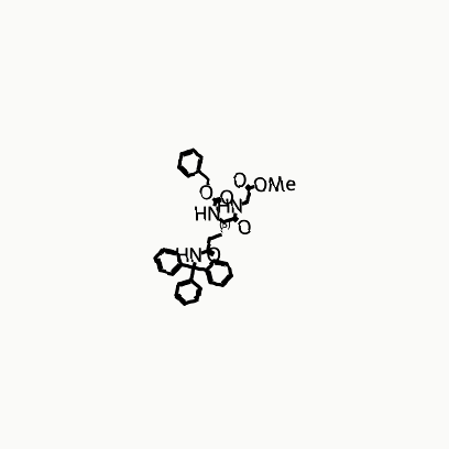 COC(=O)CNC(=O)[C@H](CCC(=O)NC(c1ccccc1)(c1ccccc1)c1ccccc1)NC(=O)OCc1ccccc1